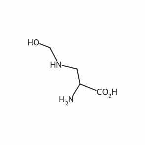 NC(CNCO)C(=O)O